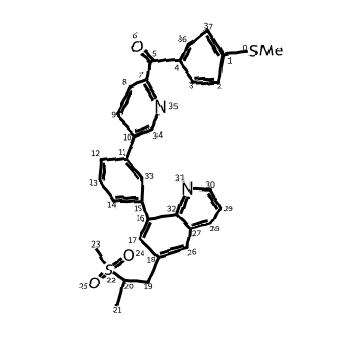 CSc1ccc(C(=O)c2ccc(-c3cccc(-c4cc(CC(C)S(C)(=O)=O)cc5cccnc45)c3)cn2)cc1